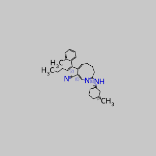 CCC/C=C(/C1=CCCC/C(N[C@@H]2CCC[C@H](C)C2)=N\C=C/1C#N)c1ccccc1C